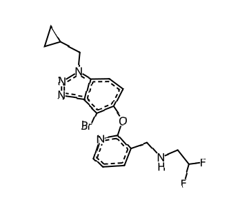 FC(F)CNCc1cccnc1Oc1ccc2c(nnn2CC2CC2)c1Br